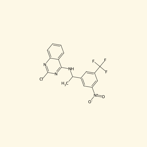 CC(Nc1nc(Cl)nc2ccccc12)c1cc([N+](=O)[O-])cc(C(F)(F)F)c1